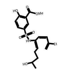 C=C(/C=C\C(=C\CCC(C)O)NS(=O)(=O)c1ccc(O)c(C(=O)OC)c1)CC